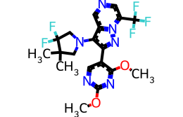 COc1ncc(-c2nn3c(C(F)(F)F)cncc3c2N2CC(C)(C)C(F)(F)C2)c(OC)n1